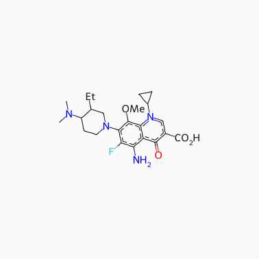 CCC1CN(c2c(F)c(N)c3c(=O)c(C(=O)O)cn(C4CC4)c3c2OC)CCC1N(C)C